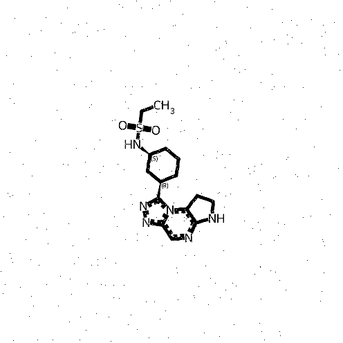 CCS(=O)(=O)N[C@H]1CCC[C@@H](c2nnc3cnc4c(n23)CCN4)C1